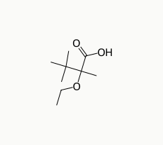 CCOC(C)(C(=O)O)C(C)(C)C